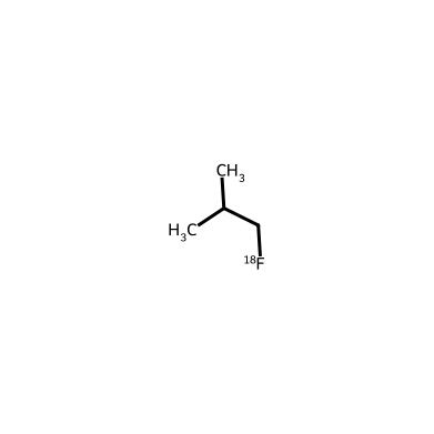 CC(C)C[18F]